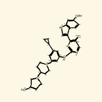 COc1ccc2c(-c3nc(Nc4cc(C5CC5)cc(N5CCC(N6CCC(O)C6)CC5)c4)ncc3Cl)c[nH]c2c1